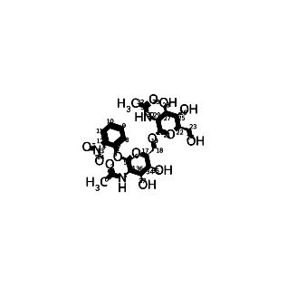 CC(=O)N[C@@H]1[C@@H](Oc2ccccc2[N+](=O)[O-])O[C@H](CO[C@@H]2O[C@H](CO)[C@@H](O)[C@H](O)[C@@H]2NC(C)=O)[C@H](O)[C@@H]1O